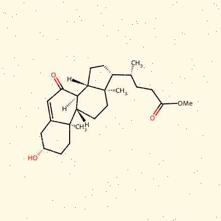 COC(=O)CC[C@@H](C)[C@H]1CC[C@H]2[C@@H]3C(=O)C=C4C[C@@H](O)CC[C@]4(C)[C@H]3CC[C@]12C